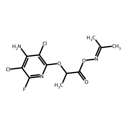 CC(C)=NOC(=O)C(C)Oc1nc(F)c(Cl)c(N)c1Cl